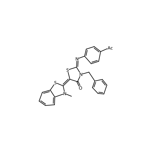 CC(=O)c1ccc(/N=C2/S/C(=C3\Sc4ccccc4N3C)C(=O)N2Cc2ccccc2)cc1